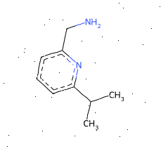 CC(C)c1cccc(CN)n1